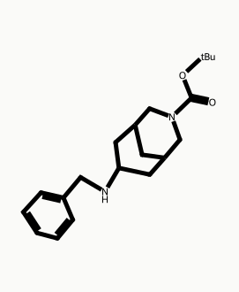 CC(C)(C)OC(=O)N1CC2CC(CC(NCc3ccccc3)C2)C1